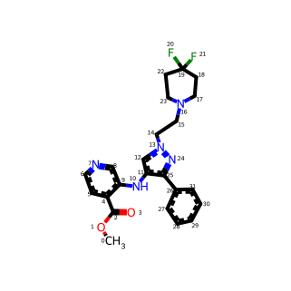 COC(=O)c1ccncc1Nc1cn(CCN2CCC(F)(F)CC2)nc1-c1ccccc1